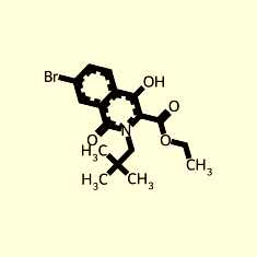 CCOC(=O)c1c(O)c2ccc(Br)cc2c(=O)n1CC(C)(C)C